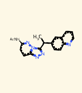 CC(=O)Nc1ccc2nnc(C(C)c3ccc4ncccc4c3)n2n1